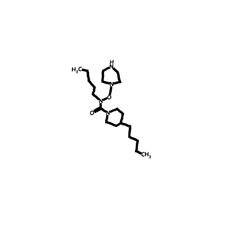 CCCCCC1CCN(C(=O)N(CCCCC)ON2CCNCC2)CC1